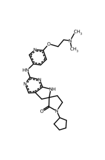 CN(C)CCOc1ccc(Nc2ncc3c(n2)NC2(CCN(C4CCCC4)C2=O)C3)cn1